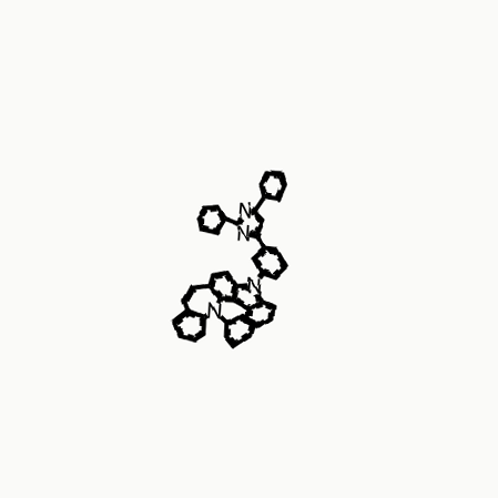 C1=Cc2ccc3c(c2N(c2ccccc2)c2ccccc21)c1ccccc1n3-c1cccc(-c2cc(-c3ccccc3)nc(-c3ccccc3)n2)c1